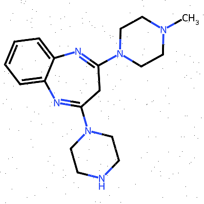 CN1CCN(C2=Nc3ccccc3N=C(N3CCNCC3)C2)CC1